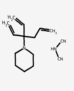 C=CCC(C=C)(C=C)N1CCCCC1.N#CNC#N